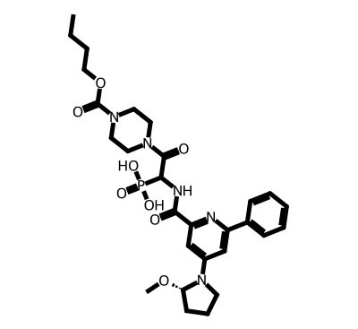 CCCCOC(=O)N1CCN(C(=O)C(NC(=O)c2cc(N3CCC[C@@H]3OC)cc(-c3ccccc3)n2)P(=O)(O)O)CC1